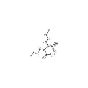 CCCOC(C(=O)O)C(OCCC)C(=O)O